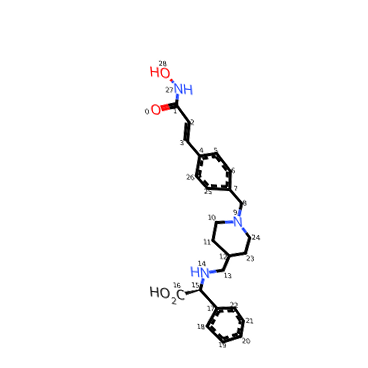 O=C(/C=C/c1ccc(CN2CCC(CN[C@H](C(=O)O)c3ccccc3)CC2)cc1)NO